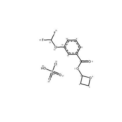 O=C(OC1CCO1)c1cccc(OC(F)F)c1.O=S(=O)(O)Cl